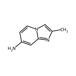 Cc1cn2ccc(N)cc2n1